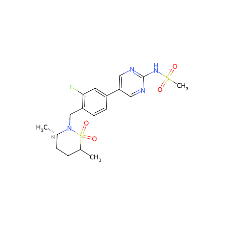 CC1CC[C@H](C)N(Cc2ccc(-c3cnc(NS(C)(=O)=O)nc3)cc2F)S1(=O)=O